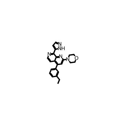 CCc1cccc(-c2cc(N3CCOCC3)nc3c(-c4ccn[nH]4)nccc23)c1